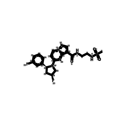 CS(=O)(=O)NCCNC(=O)c1cnn2ccc(N3C[C@@H](F)C[C@@H]3c3cccc(F)c3)nc12